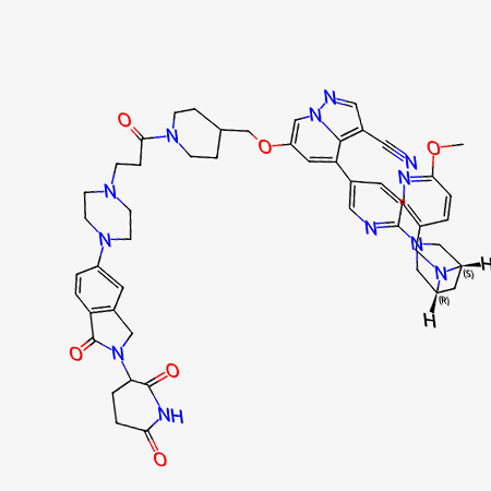 COc1ccc(CN2[C@@H]3C[C@H]2CN(c2ccc(-c4cc(OCC5CCN(C(=O)CCN6CCN(c7ccc8c(c7)CN(C7CCC(=O)NC7=O)C8=O)CC6)CC5)cn5ncc(C#N)c45)cn2)C3)cn1